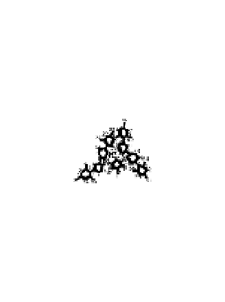 Cc1cc(C)c(-c2ccc3c(c2)c2ccc(-c4c(C)cc(C)cc4C)cc2n3-c2c(F)c(F)c(F)c(-n3c4ccc(-c5c(C)cc(C)cc5C)cc4c4ccc(-c5c(C)cc(C)cc5C)cc43)c2C#N)c(C)c1